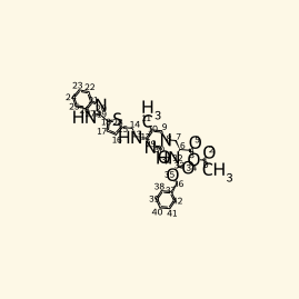 CC(=O)OC(=O)[C@H](Cn1cc(C)c(NCc2ccc(-c3nc4ccccc4[nH]3)s2)nc1=O)NC(=O)OCc1ccccc1